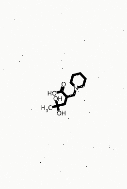 CC(O)(O)CC(CN1CCCCC1)C(=O)O